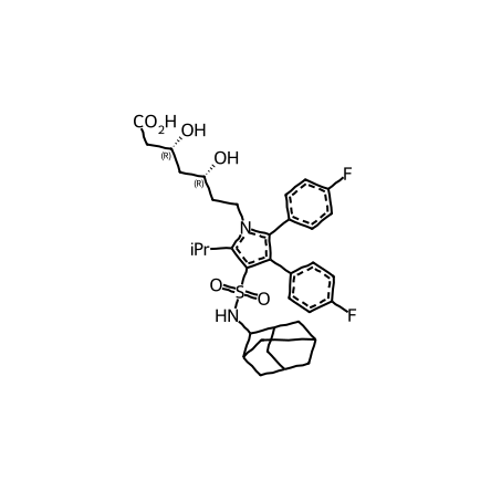 CC(C)c1c(S(=O)(=O)NC2C3CC4CC(C3)CC2C4)c(-c2ccc(F)cc2)c(-c2ccc(F)cc2)n1CC[C@@H](O)C[C@@H](O)CC(=O)O